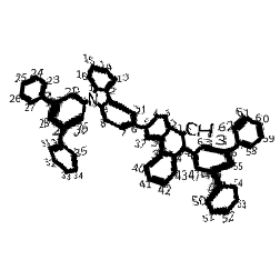 CC1c2ccc(-c3ccc4c(c3)c3ccccc3n4-c3cc(-c4ccccc4)cc(-c4ccccc4)c3)cc2-c2ccccc2C1c1cc(-c2ccccc2)cc(-c2ccccc2)c1